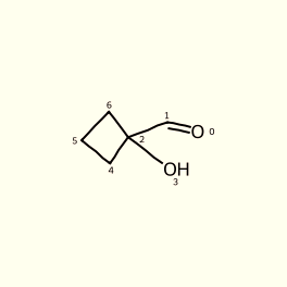 O=CC1(O)CCC1